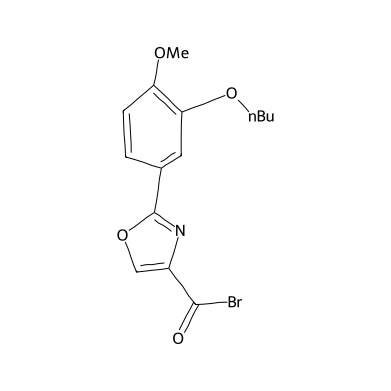 CCCCOc1cc(-c2nc(C(=O)Br)co2)ccc1OC